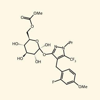 COC(=O)OC[C@H]1O[C@@](O)(Oc2nn(C(C)C)c(C(F)(F)F)c2Cc2ccc(OC)cc2F)[C@H](O)[C@@H](O)[C@@H]1O